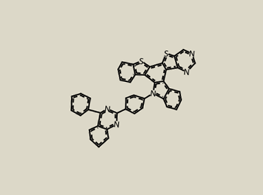 c1ccc(-c2nc(-c3ccc(-n4c5ccccc5c5c6c7ncncc7sc6c6sc7ccccc7c6c54)cc3)nc3ccccc23)cc1